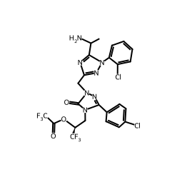 CC(N)c1nc(Cn2nc(-c3ccc(Cl)cc3)n(C[C@H](OC(=O)C(F)(F)F)C(F)(F)F)c2=O)nn1-c1ccccc1Cl